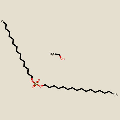 CCCCCCCCCCCCCCCCOS(=O)(=O)OCCCCCCCCCCCCCCCC.CCO